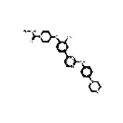 CC(C)NC(=O)N1CCC(Oc2ccc(-c3ccnc(Nc4ccc(N5CCOCC5)cc4)n3)cc2C#N)CC1